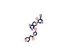 N#CC1=CN=CC(N2CCc3ncnc(O[C@H]4CCN(C(=O)CC5CCOCC5)C4)c3C2)C1=O